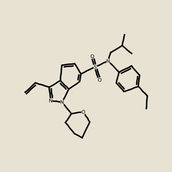 C=Cc1nn(C2CCCCO2)c2cc(S(=O)(=O)N(CC(C)C)c3ccc(CC)cc3)ccc12